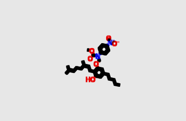 CCCCCc1cc(O)c(CC=C(C)CCC=C(C)C)c(OCN(C(=O)OC)c2ccc([N+](=O)[O-])cc2)c1